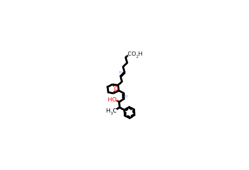 CC(c1ccccc1)C(O)/C=C\C1C2CCC(O2)C1C/C=C/CCCC(=O)O